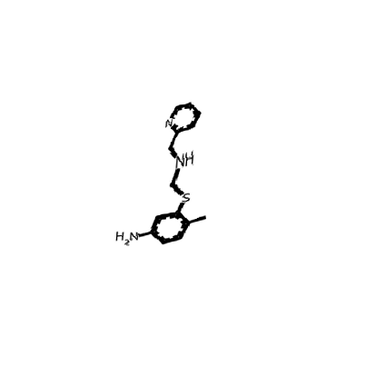 Cc1ccc(N)cc1SCNCc1ccccn1